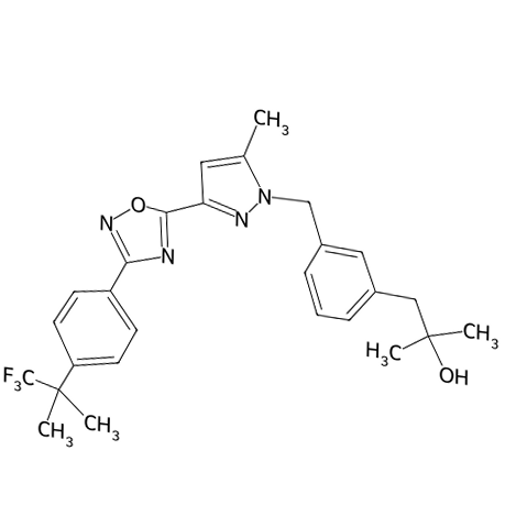 Cc1cc(-c2nc(-c3ccc(C(C)(C)C(F)(F)F)cc3)no2)nn1Cc1cccc(CC(C)(C)O)c1